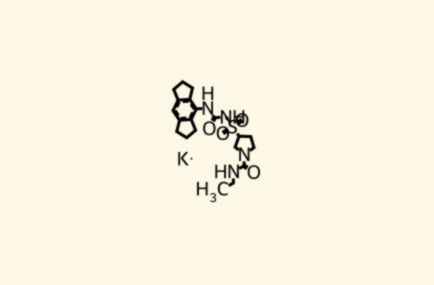 CCNC(=O)N1CCC(S(=O)(=O)NC(=O)Nc2c3c(cc4c2CCC4)CCC3)C1.[K]